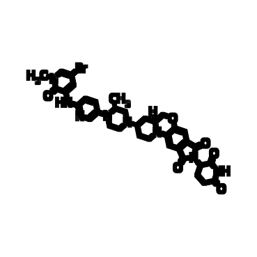 C[C@H]1CN([C@@H]2CCN3c4cc5c(cc4OC[C@@H]3C2)C(=O)N(C2CCC(=O)NC2=O)C5=O)CCN1c1ccc(Nc2cc(Br)cn(C)c2=O)nc1